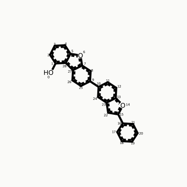 Oc1cccc2oc3cc(-c4ccc5oc(-c6ccccc6)cc5c4)ccc3c12